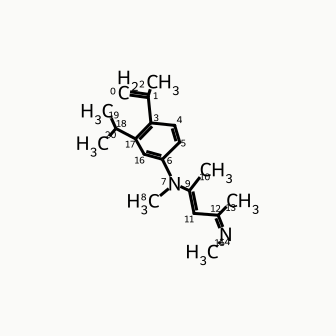 C=C(C)c1ccc(N(C)/C(C)=C/C(C)=N\C)cc1C(C)C